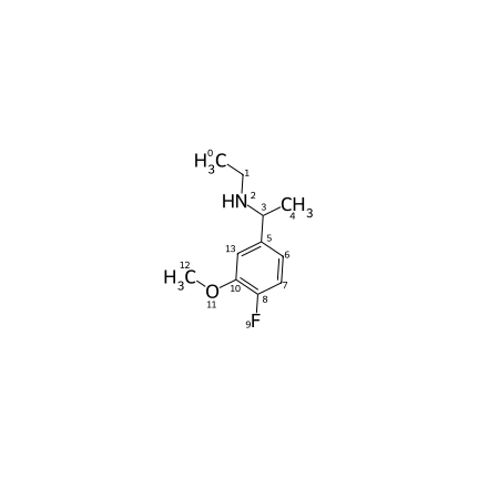 CCNC(C)c1ccc(F)c(OC)c1